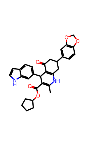 CC1=C(C(=O)OC2CCCC2)C(c2ccc3cc[nH]c3c2)C2=C(CC(c3ccc4c(c3)OCO4)CC2=O)N1